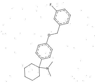 CN(C)C1(c2ccc(OCc3cccc(F)c3)cc2)CCCCC1